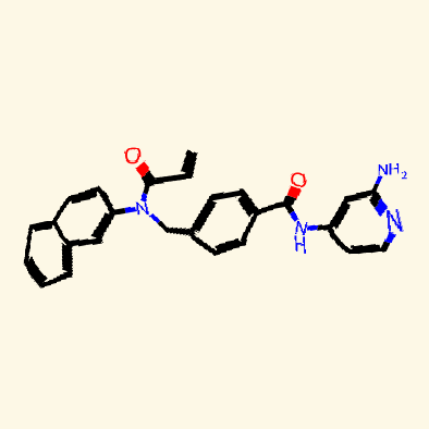 C=CC(=O)N(Cc1ccc(C(=O)Nc2ccnc(N)c2)cc1)c1ccc2ccccc2c1